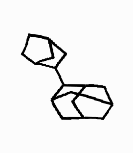 C1CC2CC1CC2C1[C]2CC3CC(C2)CC1C3